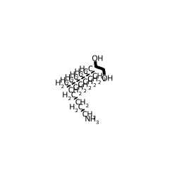 C=C.C=C.C=C.C=C.C=C.C=C.C=C.C=C.N.OCCO